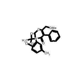 COCC1=C(c2ccccc2)C(=O)[N+](c2cc(C)ccc2Cl)(C(C)(C)C(=O)[O-])CO1